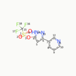 O=S(=O)(Oc1cc(-c2cccnc2)n[nH]1)C(F)(F)F